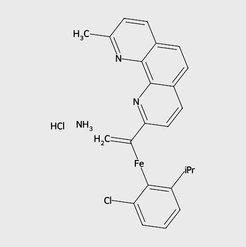 C=[C]([Fe][c]1c(Cl)cccc1C(C)C)c1ccc2ccc3ccc(C)nc3c2n1.Cl.N